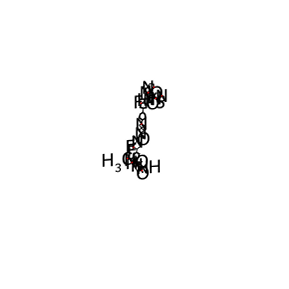 Cn1nc(N2CCC(=O)NC2=O)c2ccc(C3CCN(CC(=O)N4CC5(C4)CN(c4ccc(-c6cc(F)c7c(c6)C(=O)N(C(C(=O)Nc6nccs6)c6ncn8c6CCC8)C7)cc4)C5)CC3(F)F)cc21